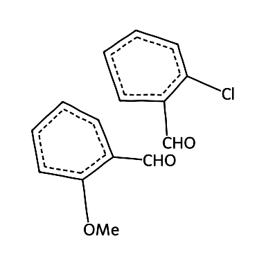 COc1ccccc1C=O.O=Cc1ccccc1Cl